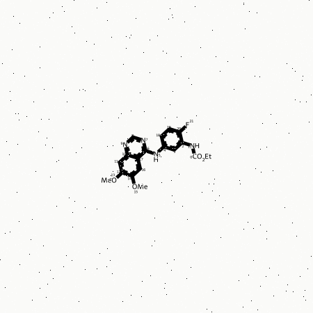 CCOC(=O)Nc1cc(Nc2ncnc3cc(OC)c(OC)cc23)ccc1F